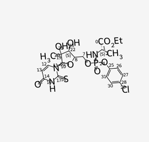 CCOC(=O)[C@H](C)NP(=O)(OCC1O[C@@H](n2ccc(=O)[nH]c2=S)C(C)(O)[C@H]1O)Oc1ccc(Cl)cc1